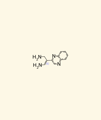 N/C=C(\CN)c1cnc2ccccc2n1